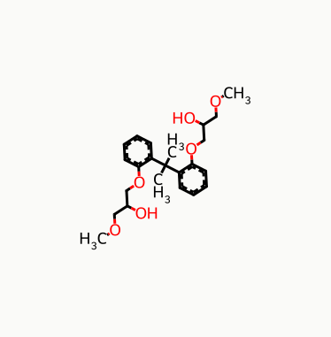 COCC(O)COc1ccccc1C(C)(C)c1ccccc1OCC(O)COC